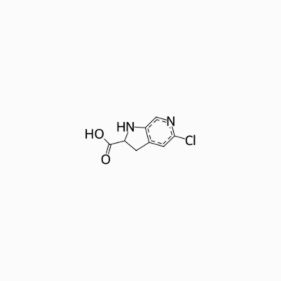 O=C(O)C1Cc2cc(Cl)ncc2N1